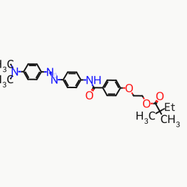 CCC(C)(C)C(=O)OCCOc1ccc(C(=O)Nc2ccc(/N=N/c3ccc(N(C)C)cc3)cc2)cc1